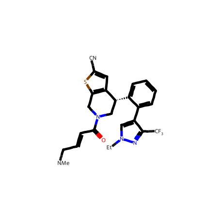 CCn1cc(-c2ccccc2[C@@H]2CN(C(=O)/C=C/CNC)Cc3sc(C#N)cc32)c(C(F)(F)F)n1